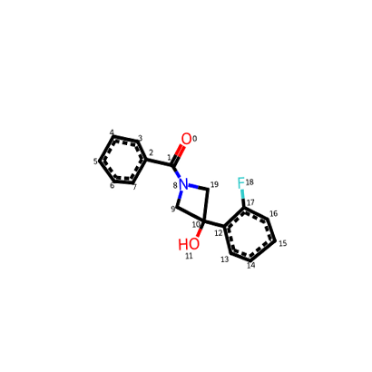 O=C(c1ccccc1)N1CC(O)(c2ccccc2F)C1